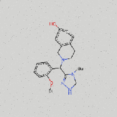 CCOc1ccccc1C(C1=NNCN1C(C)(C)C)N1CCc2ccc(O)cc2C1